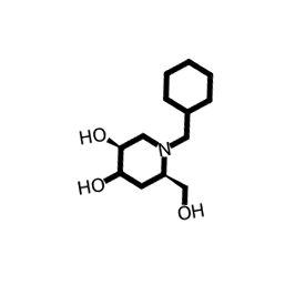 OC[C@H]1CC(O)[C@@H](O)CN1CC1CCCCC1